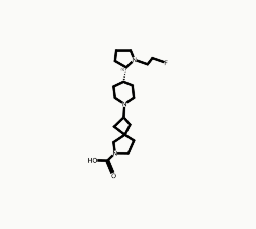 O=C(O)N1CCC2(CC(N3CCC([C@@H]4CCCN4CCF)CC3)C2)C1